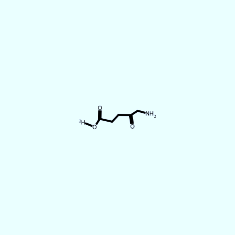 [2H]OC(=O)CCC(=O)CN